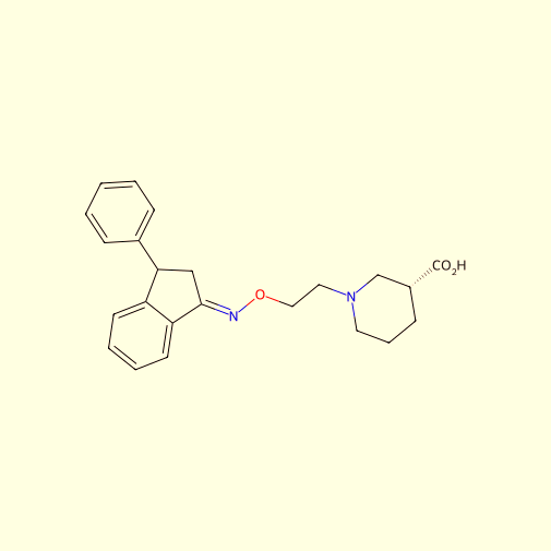 O=C(O)[C@@H]1CCCN(CCON=C2CC(c3ccccc3)c3ccccc32)C1